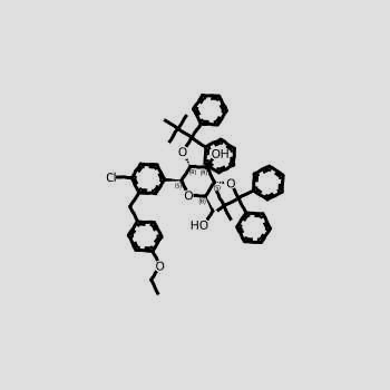 CCOc1ccc(Cc2cc([C@@H]3O[C@H](CO)[C@@H](OC(c4ccccc4)(c4ccccc4)C(C)(C)C)[C@H](O)[C@H]3OC(c3ccccc3)(c3ccccc3)C(C)(C)C)ccc2Cl)cc1